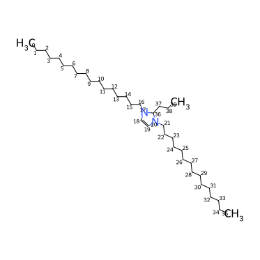 CCCCCCCCCCCCCCCCCN1C=CN(CCCCCCCCCCCCCCC)C1CCC